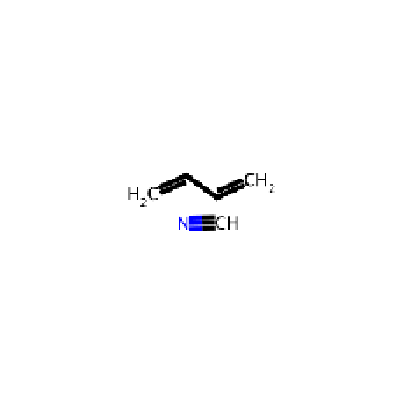 C#N.C=CC=C